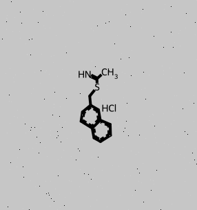 CC(=N)SCc1ccc2ccccc2c1.Cl